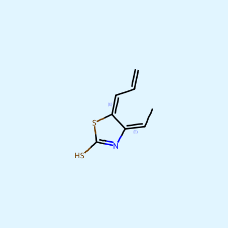 C=C/C=c1/sc(S)n/c1=C/C